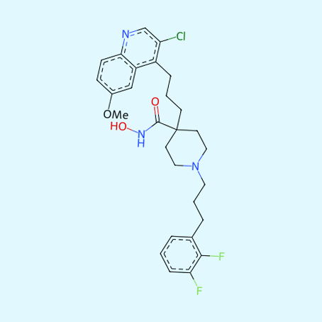 COc1ccc2ncc(Cl)c(CCCC3(C(=O)NO)CCN(CCCc4cccc(F)c4F)CC3)c2c1